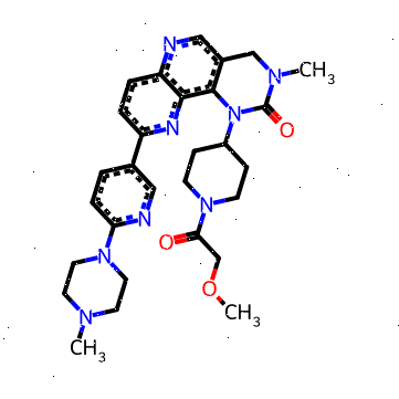 COCC(=O)N1CCC(N2C(=O)N(C)Cc3cnc4ccc(-c5ccc(N6CCN(C)CC6)nc5)nc4c32)CC1